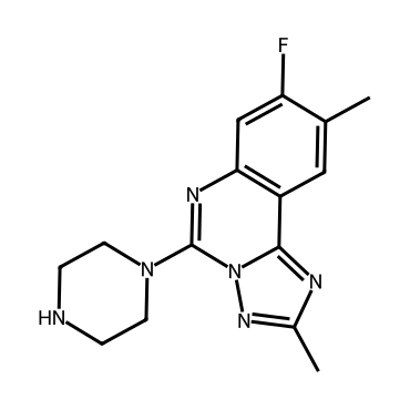 Cc1nc2c3cc(C)c(F)cc3nc(N3CCNCC3)n2n1